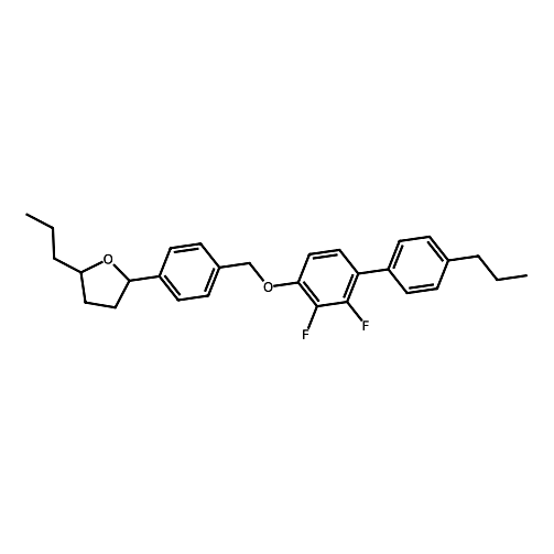 CCCc1ccc(-c2ccc(OCc3ccc(C4CCC(CCC)O4)cc3)c(F)c2F)cc1